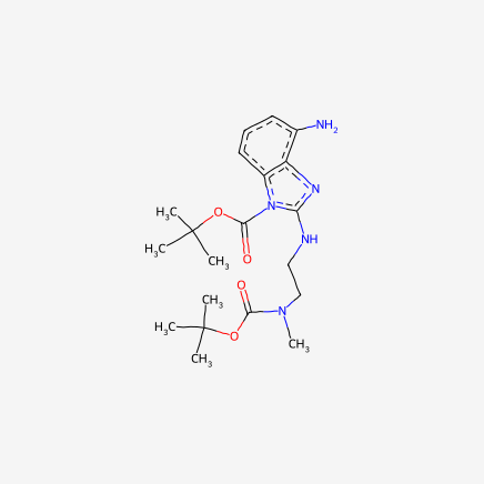 CN(CCNc1nc2c(N)cccc2n1C(=O)OC(C)(C)C)C(=O)OC(C)(C)C